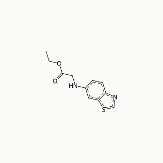 CCOC(=O)CNc1ccc2ncsc2c1